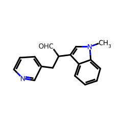 Cn1cc(C(C=O)Cc2cccnc2)c2ccccc21